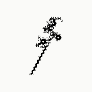 CCCCCCCCCCCCCCCCCCOC[C@H](COP(=O)(OC[C@H]1O[C@@](C#N)(c2ccc3c(N)ncnn23)[C@@H]2OC(C)(C)O[C@@H]21)Oc1ccccc1Cl)Oc1cc(OC)c(C#N)c(OC)c1